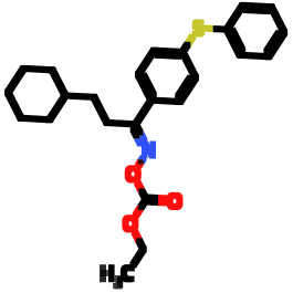 CCOC(=O)O/N=C(\CCC1CCCCC1)c1ccc(Sc2ccccc2)cc1